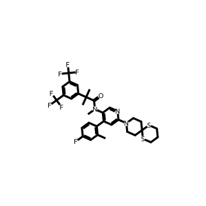 Cc1cc(F)ccc1-c1cc(N2CCC3(CC2)SCCCS3)ncc1N(C)C(=O)C(C)(C)c1cc(C(F)(F)F)cc(C(F)(F)F)c1